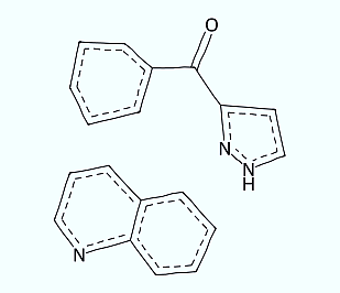 O=C(c1ccccc1)c1cc[nH]n1.c1ccc2ncccc2c1